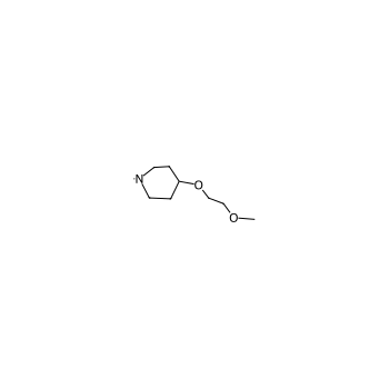 COCCOC1CC[N]CC1